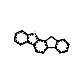 c1ccc2c(c1)Cc1c-2ccc2c1sc1ccccc12